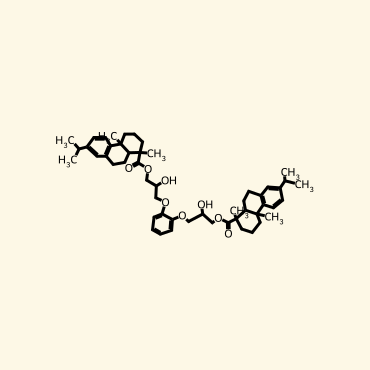 CC(C)c1ccc2c(c1)CCC1C(C)(C(=O)OCC(O)COc3ccccc3OCC(O)COC(=O)C3(C)CCCC4(C)c5ccc(C(C)C)cc5CCC34)CCCC21C